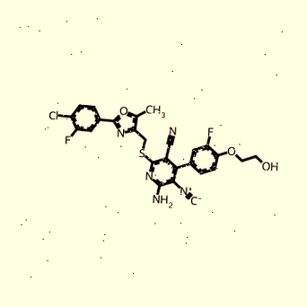 [C-]#[N+]c1c(N)nc(SCc2nc(-c3ccc(Cl)c(F)c3)oc2C)c(C#N)c1-c1ccc(OCCO)c(F)c1